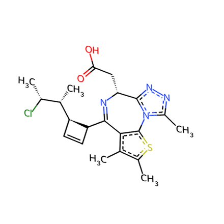 Cc1sc2c(c1C)C(C1C=C[C@H]1[C@@H](C)[C@@H](C)Cl)=N[C@H](CC(=O)O)c1nnc(C)n1-2